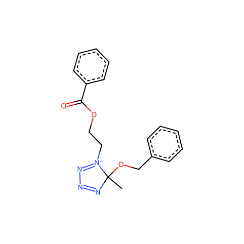 CC1(OCc2ccccc2)N=NN=[N+]1CCOC(=O)c1ccccc1